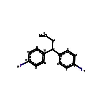 COCC(c1ccc(I)cc1)c1ccc(I)cc1